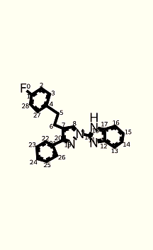 Fc1ccc(CCc2cn(-c3nc4ccccc4[nH]3)nc2-c2ccccc2)cc1